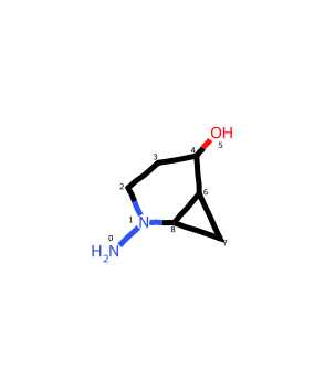 NN1CCC(O)C2CC21